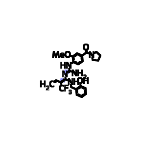 C=C/C(=C(\N=C(/N)Nc1ccc(C(=O)N2CCCC2)cc1OC)NCc1ccccc1O)C(F)(F)F